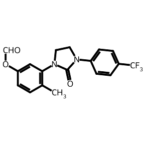 Cc1ccc(OC=O)cc1N1CCN(c2ccc(C(F)(F)F)cc2)C1=O